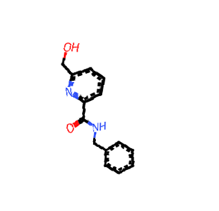 O=C(NCc1ccccc1)c1cccc(CO)n1